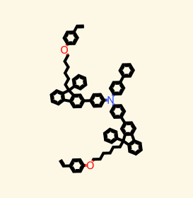 C=Cc1ccc(OCCCCCCC2(c3ccccc3)c3ccccc3-c3ccc(-c4ccc(N(c5ccc(-c6ccccc6)cc5)c5ccc(-c6ccc7c(c6)C(CCCCCCOc6ccc(C=C)cc6)(c6ccccc6)c6ccccc6-7)cc5)cc4)cc32)cc1